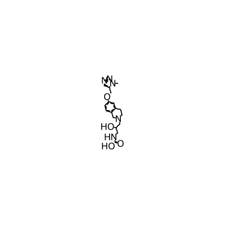 Cn1nncc1COc1ccc2c(c1)CCN(CC(O)CNC(=O)O)C2